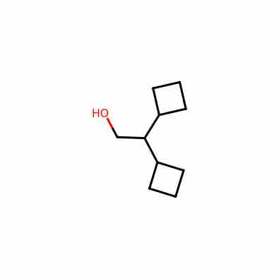 OCC(C1CCC1)C1CCC1